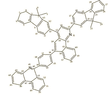 CC1(C)C2=C(C=CCC2)c2ccc(-c3cc(-c4ccc5c(c4)C(C)(C)c4ccccc4-5)nc4c3cc(-c3ccc(-c5nc6ccccc6c6ccccc56)cc3)c3ccccc34)cc21